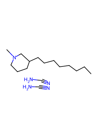 CCCCCCCCC1CCCN(C)C1.N#CN.N#CN